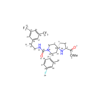 COC(=O)C1CC[C@]2(CCN(C(=O)NC[C@H](C)c3cc(C(F)(F)F)cc(C(F)(F)F)c3)[C@@H](c3ccc(F)cc3C)C2)N1